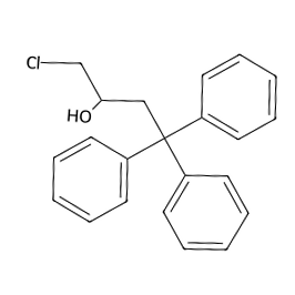 OC(CCl)CC(c1ccccc1)(c1ccccc1)c1ccccc1